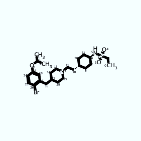 CCS(=O)(=O)N[C@H]1CC[C@H](CCN2CCC(Cc3cc(OC(C)C)ccc3Br)CC2)CC1